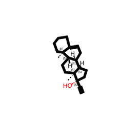 C#C[C@]1(O)CC[C@H]2[C@@H]3CC=C4CCCC[C@]4(C)[C@H]3CC[C@@]21C